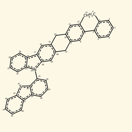 Cc1ccccc1-c1cc2c(cc1C)Cc1cc3c4ccccc4n(-c4cccc5c4sc4ccccc45)c3cc1C2